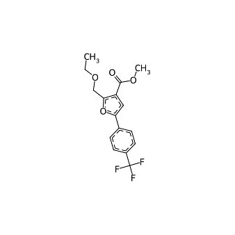 CCOCc1oc(-c2ccc(C(F)(F)F)cc2)cc1C(=O)OC